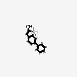 Cc1cc2ccc(-c3ccccc3)cc2[nH]1